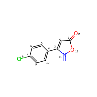 O=c1cc(-c2ccc(Cl)cc2)[nH]o1